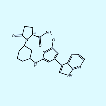 NC(=O)[C@@H]1CCC(=O)N1C1CCCC(Nc2cc(-c3c[nH]c4ncccc34)cc(Cl)n2)C1